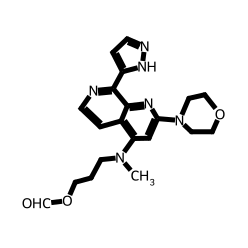 CN(CCCOC=O)c1cc(N2CCOCC2)nc2c(-c3ccn[nH]3)nccc12